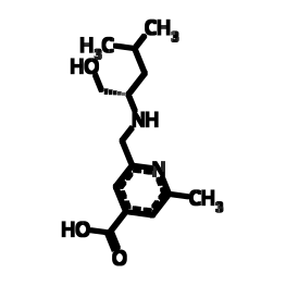 Cc1cc(C(=O)O)cc(CN[C@H](CO)CC(C)C)n1